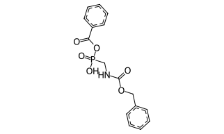 O=C(NCP(=O)(O)OC(=O)c1ccccc1)OCc1ccccc1